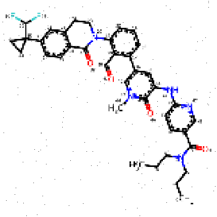 CCCN(CCC)C(=O)c1ccc(Nc2cc(-c3cccc(N4CCc5cc(C6(C(F)F)CC6)ccc5C4=O)c3C=O)cn(C)c2=O)nc1